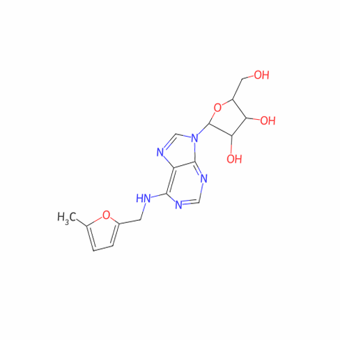 Cc1ccc(CNc2ncnc3c2ncn3C2OC(CO)C(O)C2O)o1